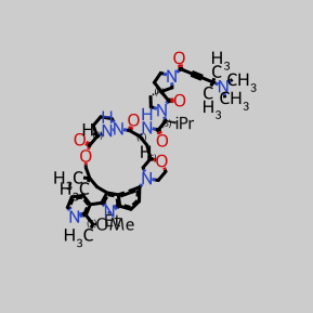 CCn1c(-c2cccnc2[C@H](C)OC)c2c3cc(ccc31)N1CCO[C@@H](C[C@H](NC(=O)[C@H](C(C)C)N3CC[C@@]4(CCN(C(=O)C#CC(C)(C)N(C)C)C4)C3=O)C(=O)N3CCC[C@H](N3)C(=O)OCC(C)(C)C2)C1